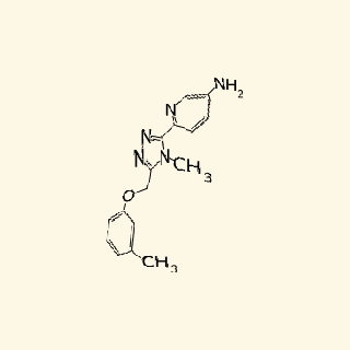 Cc1cccc(OCc2nnc(-c3ccc(N)cn3)n2C)c1